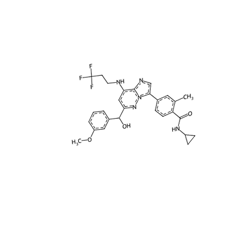 COc1cccc(C(O)c2cc(NCCC(F)(F)F)c3ncc(-c4ccc(C(=O)NC5CC5)c(C)c4)n3n2)c1